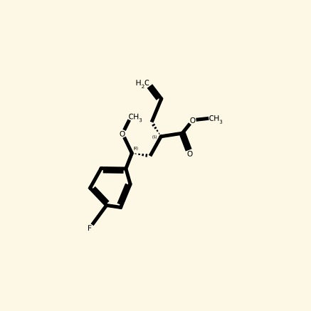 C=CC[C@@H](C[C@@H](OC)c1ccc(F)cc1)C(=O)OC